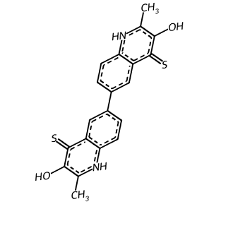 Cc1[nH]c2ccc(-c3ccc4[nH]c(C)c(O)c(=S)c4c3)cc2c(=S)c1O